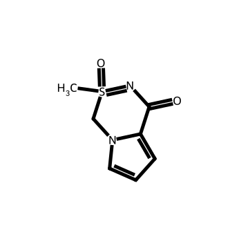 CS1(=O)=NC(=O)c2cccn2C1